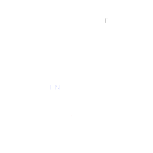 C=CC(=O)NCc1cccc(CC)c1